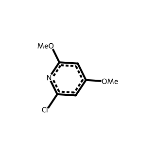 [CH2]Oc1cc(Cl)nc(OC)c1